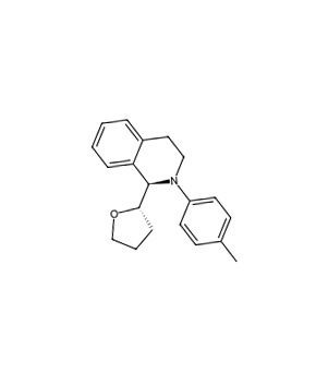 Cc1ccc(N2CCc3ccccc3[C@@H]2[C@@H]2CCCO2)cc1